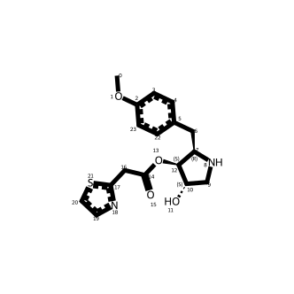 COc1ccc(C[C@H]2NC[C@H](O)[C@H]2OC(=O)Cc2nccs2)cc1